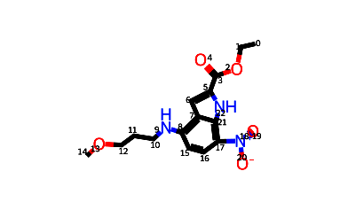 CCOC(=O)c1cc2c(NCCCOC)ccc([N+](=O)[O-])c2[nH]1